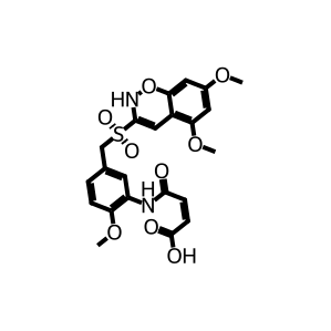 COc1cc(OC)c2c(c1)ONC(S(=O)(=O)Cc1ccc(OC)c(NC(=O)/C=C\C(=O)O)c1)=C2